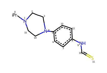 CC(C)N1CCN(c2ccc(N[C]=S)cc2)CC1